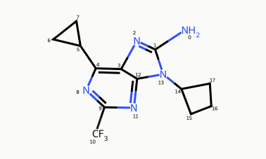 Nc1nc2c(C3CC3)nc(C(F)(F)F)nc2n1C1CCC1